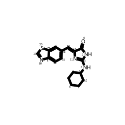 O=C1NC(NC2CCCCC2)=N/C1=C\c1ccc2ncsc2c1